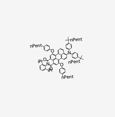 CCCCCc1ccc(Oc2cc3c4c(cc(Oc5ccc(CCCCC)cc5)c5c6ccc(N(c7ccc(C(C)(C)CCCCC)cc7)c7ccc(C(C)(C)CCCCC)cc7)c7cccc(c2c45)c76)C(=O)N(c2c(C(C)C)cccc2C(C)C)C3=O)cc1